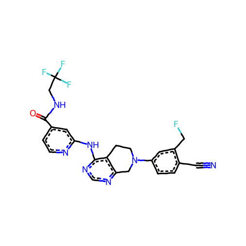 N#Cc1ccc(N2CCc3c(ncnc3Nc3cc(C(=O)NCC(F)(F)F)ccn3)C2)cc1CF